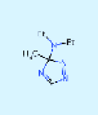 CCN(CC)C1(C)N=CN=N1